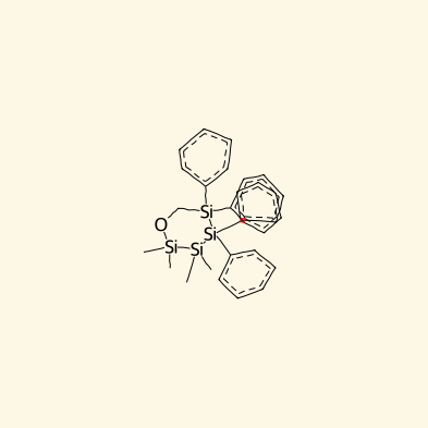 C[Si]1(C)OC[Si](c2ccccc2)(c2ccccc2)[Si](c2ccccc2)(c2ccccc2)[Si]1(C)C